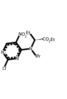 CCOC(=O)[C@@H](CC)N(c1nc(Cl)ncc1[N+](=O)[O-])C(C)C